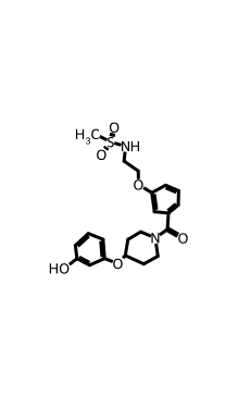 CS(=O)(=O)NCCOc1cccc(C(=O)N2CCC(Oc3cccc(O)c3)CC2)c1